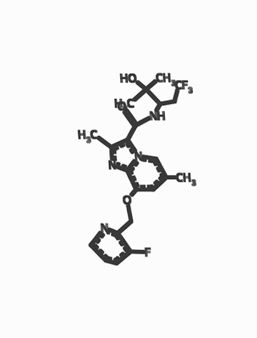 Cc1cc(OCc2ncccc2F)c2nc(C)c(C(=O)NC(CC(F)(F)F)C(C)(C)O)n2c1